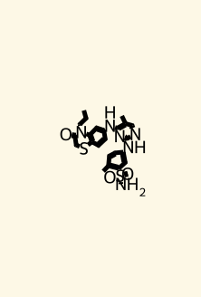 CCCN1C(=O)CSc2ccc(Nc3nc(Nc4ccc(C)c(S(N)(=O)=O)c4)ncc3C)cc21